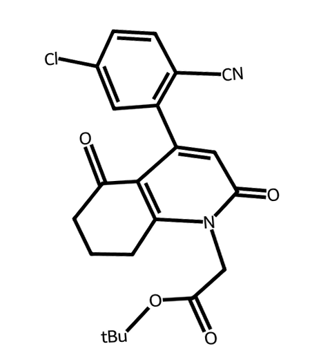 CC(C)(C)OC(=O)Cn1c2c(c(-c3cc(Cl)ccc3C#N)cc1=O)C(=O)CCC2